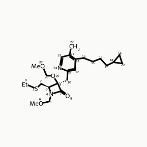 CCSC[C@@H]1N(COC)C(=O)[C@]1(Cc1cc(CCCCC2CC2)c(C)cn1)OCOC